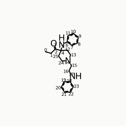 CCC(=O)C1(Nc2ccccc2)CCN(CCNc2ccccc2)CC1